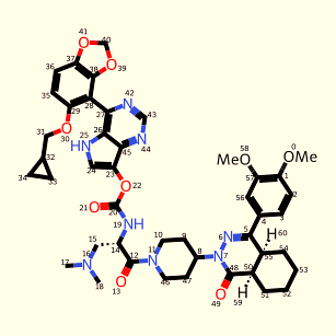 COc1ccc(C2=NN(C3CCN(C(=O)[C@H](CN(C)C)NC(=O)Oc4c[nH]c5c(-c6c(OCC7CC7)ccc7c6OCO7)ncnc45)CC3)C(=O)[C@@H]3CCCC[C@H]23)cc1OC